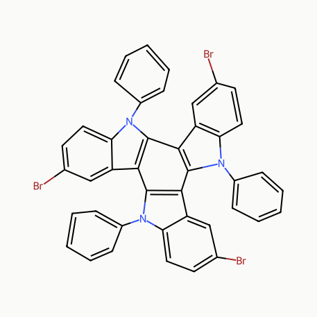 Brc1ccc2c(c1)c1c(c3c4cc(Br)ccc4n(-c4ccccc4)c3c3c4cc(Br)ccc4n(-c4ccccc4)c13)n2-c1ccccc1